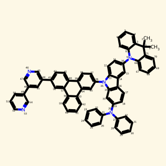 CC1(C)c2ccccc2N(c2ccc3c(c2)c2ccc(N(c4ccccc4)c4ccccc4)cc2n3-c2ccc3c4ccc(-c5cncc(-c6cccnc6)c5)cc4c4ccccc4c3c2)c2ccccc21